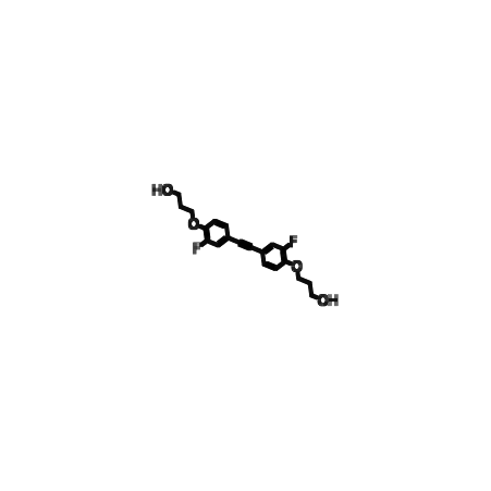 OCCCOc1ccc(C#Cc2ccc(OCCCO)c(F)c2)cc1F